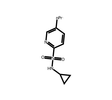 CC[CH]c1ccc(S(=O)(=O)NC2CC2)nc1